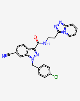 N#Cc1ccc2c(C(=O)NCCc3nnc4ccccn34)nn(Cc3ccc(Cl)cc3)c2c1